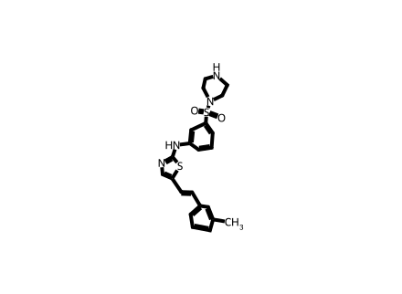 Cc1cccc(/C=C/c2cnc(Nc3cccc(S(=O)(=O)N4CCNCC4)c3)s2)c1